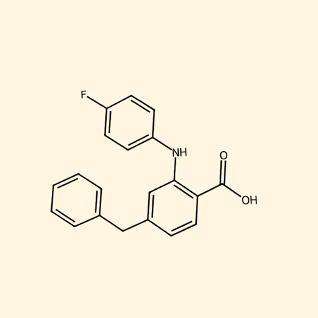 O=C(O)c1ccc(Cc2ccccc2)cc1Nc1ccc(F)cc1